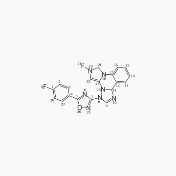 Fc1ccc(-c2nc(N3C=NC4c5ccccc5N5CN(F)C=C5N43)no2)cc1